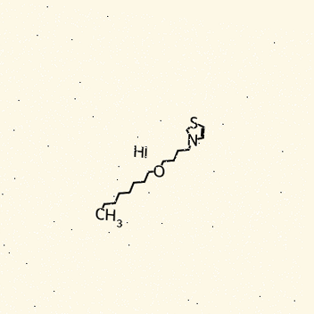 CCCCCCCCOCCCCN1C=CSC1.I